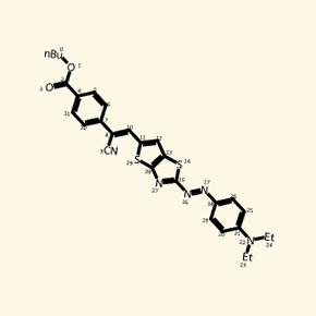 CCCCOC(=O)c1ccc(/C(C#N)=C/c2cc3sc(/N=N/c4ccc(N(CC)CC)cc4)nc3s2)cc1